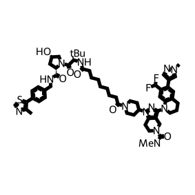 CNC(=O)N1CCc2c(c(N3CCCc4cc(-c5cnn(C)c5)c(C(F)F)cc43)nn2C2CCN(C(=O)CCCCCCCC(=O)N[C@H](C(=O)N3C[C@H](O)C[C@H]3C(=O)NCc3ccc(-c4scnc4C)cc3)C(C)(C)C)CC2)C1